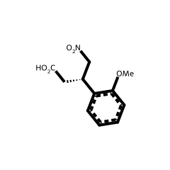 COc1ccccc1[C@H](CC(=O)O)C[N+](=O)[O-]